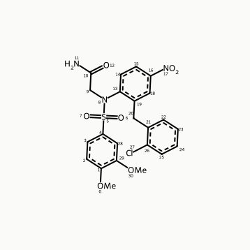 COc1ccc(S(=O)(=O)N(CC(N)=O)c2ccc([N+](=O)[O-])cc2Cc2ccccc2Cl)cc1OC